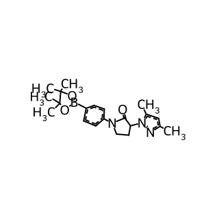 Cc1cc(C)n(C2CCN(c3ccc(B4OC(C)(C)C(C)(C)O4)cc3)C2=O)n1